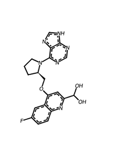 OC(O)c1cc(OC[C@H]2CCCN2c2ncnc3[nH]cnc23)c2cc(F)ccc2n1